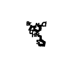 Clc1cc(NCc2cccs2)c2occ(Br)c2n1